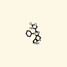 O=C1NC(c2nc3cnc4[nH]ccc4c3n2C2CCCCC2)CO1